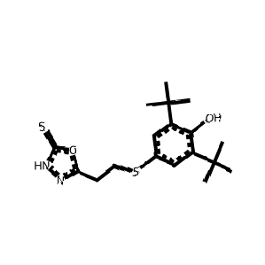 CC(C)(C)c1cc(SCCc2n[nH]c(=S)o2)cc(C(C)(C)C)c1O